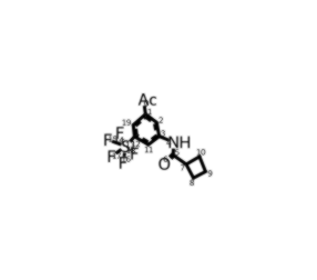 CC(=O)c1cc(NC(=O)C2CCC2)cc(S(F)(F)(F)(F)F)c1